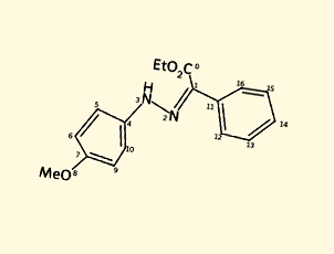 CCOC(=O)/C(=N\Nc1ccc(OC)cc1)c1ccccc1